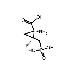 N[C@@]1(C(=O)O)C[C@]1(F)CP(=O)(O)O